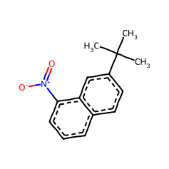 CC(C)(C)c1ccc2cccc([N+](=O)[O-])c2c1